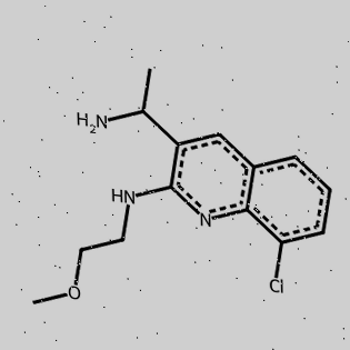 COCCNc1nc2c(Cl)cccc2cc1C(C)N